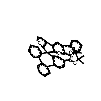 CC1(C)OB(c2ccc3c(c2)C2(c4ccccc4-c4ccccc4-3)c3ccccc3-c3cc4c(cc32)sc2ccccc24)OC1(C)C